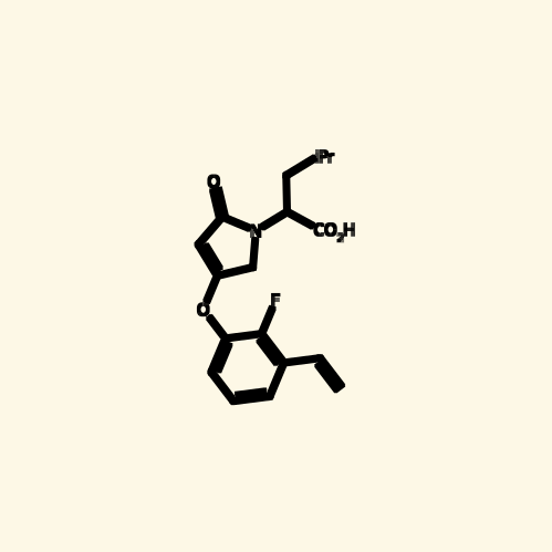 C=Cc1cccc(OC2=CC(=O)N(C(CC(C)C)C(=O)O)C2)c1F